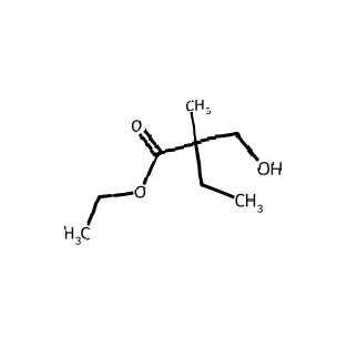 CCOC(=O)C(C)(CC)CO